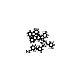 N#Cc1cccc(-c2cccc(-c3nc(-c4ccccc4)nc(-n4c5ccccc5c5cc6c(cc54)-c4ccccc4C64c5ccccc5-c5ccccc54)n3)c2)c1